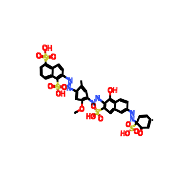 COc1cc(N=Nc2ccc3c(S(=O)(=O)O)cccc3c2S(=O)(=O)O)c(C)cc1N=Nc1c(S(=O)(=O)O)cc2cc(N=NC3(S(=O)(=O)O)C=C[C]=CC3=O)ccc2c1O